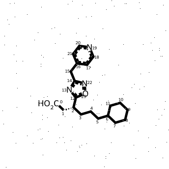 O=C(O)C[C@@H](CCCC1CCCCC1)c1nc(Cc2ccncc2)no1